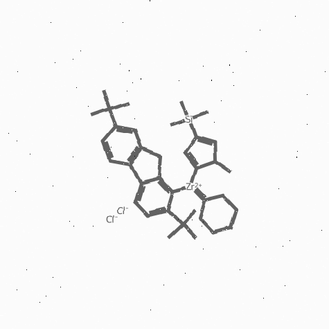 CC1C=C([Si](C)(C)C)C=[C]1[Zr+2](=[C]1CCCCC1)[c]1c(C(C)(C)C)ccc2c1Cc1cc(C(C)(C)C)ccc1-2.[Cl-].[Cl-]